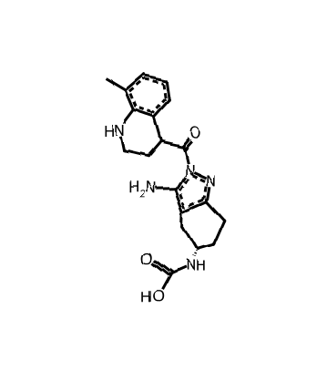 Cc1cccc2c1NCCC2C(=O)n1nc2c(c1N)C[C@@H](NC(=O)O)CC2